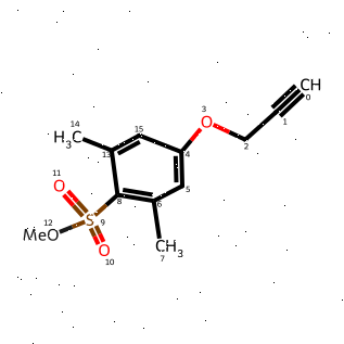 C#CCOc1cc(C)c(S(=O)(=O)OC)c(C)c1